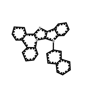 c1ccc2cc(-n3c4ccccc4c4nc5c6ccccc6c6ccccc6n5c43)ccc2c1